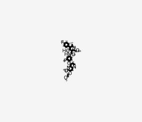 COCCOc1cc2nccc(Oc3ccc(NC(=O)c4c(COC)nc(C)c(-c5ccc(F)cc5)c4O)cc3F)c2nc1OC